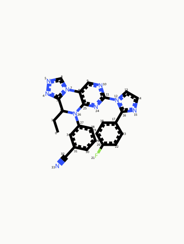 CCC1c2nncn2-c2cnc(-n3ccnc3-c3ccc(F)cc3)nc2N1c1cccc(C#N)c1